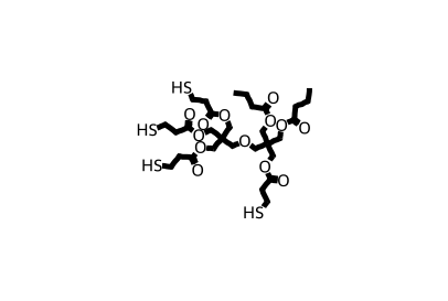 CCCC(=O)OCC(COCC(COC(=O)CCS)(COC(=O)CCS)COC(=O)CCS)(COC(=O)CCC)COC(=O)CCS